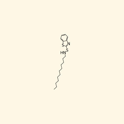 CCCCCCCCCCCCNSc1nc2ccccc2s1